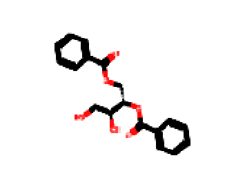 O=C(OC[C@H](OC(=O)c1ccccc1)[C@@H](O)CO)c1ccccc1